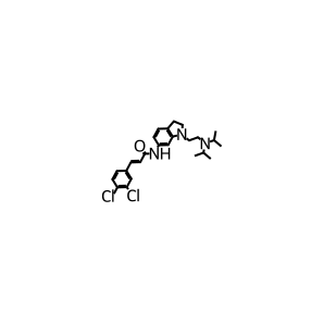 CC(C)N(CCN1CCc2ccc(NC(=O)C=Cc3ccc(Cl)c(Cl)c3)cc21)C(C)C